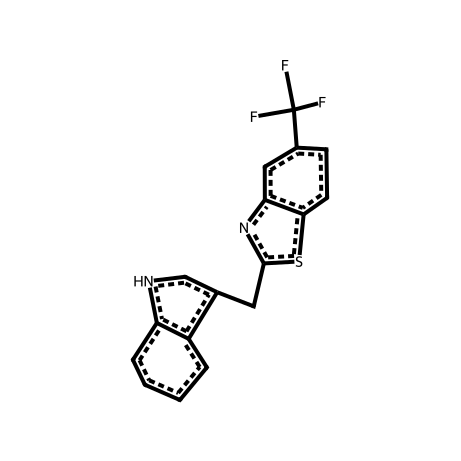 FC(F)(F)c1ccc2sc(Cc3c[nH]c4ccccc34)nc2c1